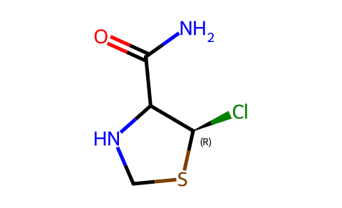 NC(=O)C1NCS[C@@H]1Cl